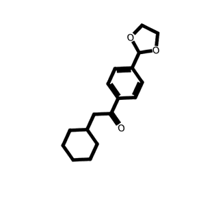 O=C(CC1CCCCC1)c1ccc(C2OCCO2)cc1